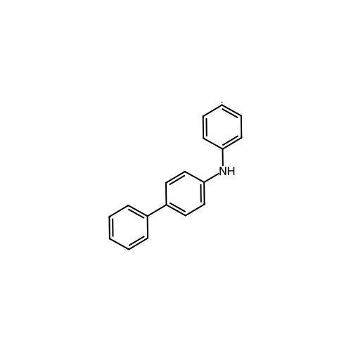 [c]1ccc(Nc2ccc(-c3ccccc3)cc2)cc1